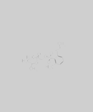 CCSc1cccc(C)c1S(=O)(=O)OCP(C)(=O)OC(C)C